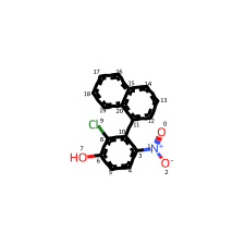 O=[N+]([O-])c1ccc(O)c(Cl)c1-c1cccc2ccccc12